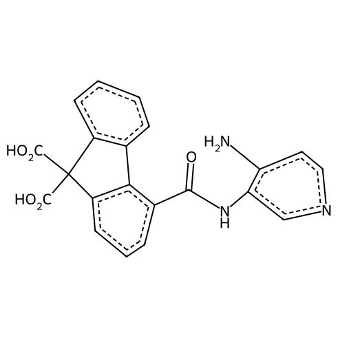 Nc1ccncc1NC(=O)c1cccc2c1-c1ccccc1C2(C(=O)O)C(=O)O